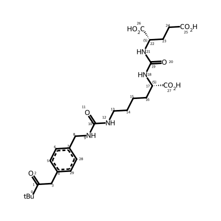 CC(C)(C)C(=O)Cc1ccc(CNC(=O)NCCCC[C@H](NC(=O)N[C@@H](CCC(=O)O)C(=O)O)C(=O)O)cc1